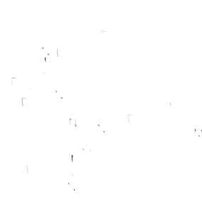 CCc1c(F)ccc2cc(OCOC)cc(-c3ccc4c(N5C[C@H](N)CC(F)(F)C5)nc(OC[C@@]56CCCN5C[C@H](F)C6)nc4c3F)c12